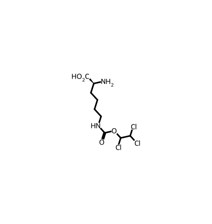 N[C@@H](CCCCNC(=O)OC(Cl)C(Cl)Cl)C(=O)O